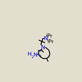 C/C1=C\C(N)=C/CC(C)CCCCN1CC(C)(C)CN(C(C)C)C(C)C